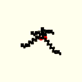 CCCCCCCCOC(=O)C([SiH3])(CCC)C(CC)CCCCCCCC